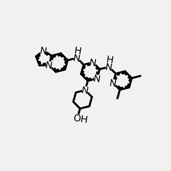 Cc1cc(C)nc(Nc2nc(Nc3ccn4ccnc4c3)cc(N3CCC(O)CC3)n2)c1